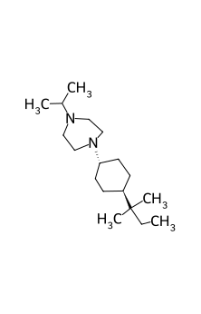 CCC(C)(C)[C@H]1CC[C@H](N2CCN(C(C)C)CC2)CC1